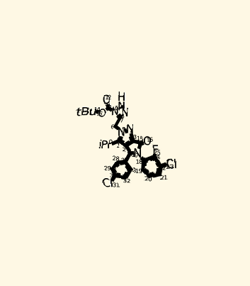 CC(C)c1c2c(nn1Cc1n[nH]n1C(=O)OC(C)(C)C)C(=O)N(c1cccc(Cl)c1F)C2c1ccc(Cl)cc1